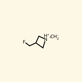 [CH2-][NH+]1CC(CF)C1